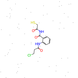 O=C(CS)NC(=O)c1ccccc1NC(=O)CCCl